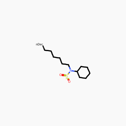 CCCCCCCCCCCCCCCCN(C1CCCCC1)[SH](=O)=O